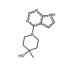 CC1(O)CCN(c2ncnc3[nH]ccc23)CC1